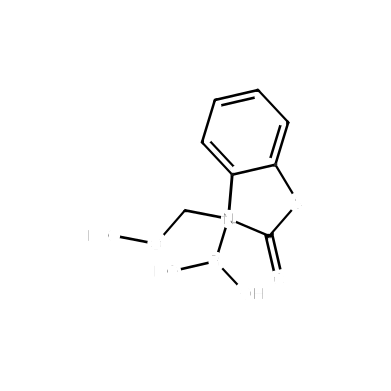 COC[N+]1(B(O)O)C(=O)Sc2ccccc21